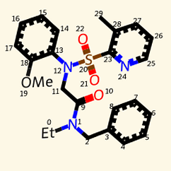 CCN(Cc1ccccc1)C(=O)CN(c1ccccc1OC)S(=O)(=O)c1ncccc1C